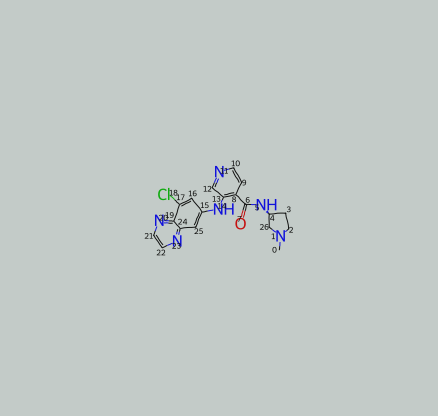 CN1CC[C@H](NC(=O)c2ccncc2Nc2cc(Cl)c3nccnc3c2)C1